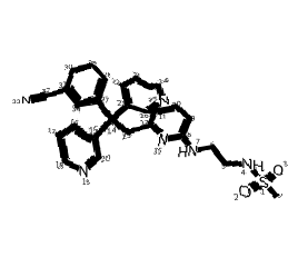 CS(=O)(=O)NCCNc1cccc(CC(c2cccnc2)(c2cccnc2)c2cccc(C#N)c2)n1